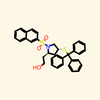 O=S(=O)(c1ccc2ccccc2c1)N1C[C@H](SC(c2ccccc2)(c2ccccc2)c2ccccc2)C[C@H]1CCO